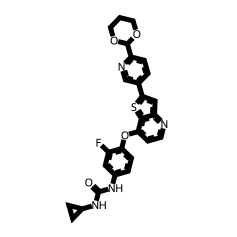 O=C(Nc1ccc(Oc2ccnc3cc(-c4ccc(C5OCCCO5)nc4)sc23)c(F)c1)NC1CC1